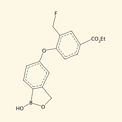 CCOC(=O)c1ccc(Oc2ccc3c(c2)COB3O)c(CF)c1